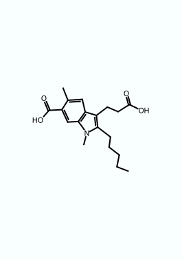 CCCCCc1c(CCC(=O)O)c2cc(C)c(C(=O)O)cc2n1C